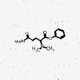 CNC(=O)CCC(C(=O)Oc1ccccc1)N(C)C